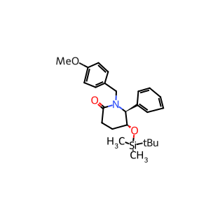 COc1ccc(CN2C(=O)CC[C@H](O[Si](C)(C)C(C)(C)C)[C@@H]2c2ccccc2)cc1